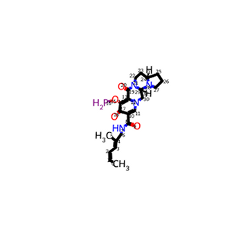 C/C=C\C=C(/C)CNC(=O)c1cn2c(c(OP)c1=O)C(=O)N1CC[C@@H]3CCCN3[C@@H]1C2